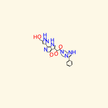 COc1cnc(-c2cc(CO)[nH]n2)c2[nH]cc(C(=O)C(=O)N3CCN4C(c5ccccc5)=CNC4C3)c12